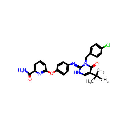 CC(C)(C)c1c[nH]/c(=N\c2ccc(Oc3cccc(C(N)=O)n3)cc2)n(Cc2ccc(Cl)cc2)c1=O